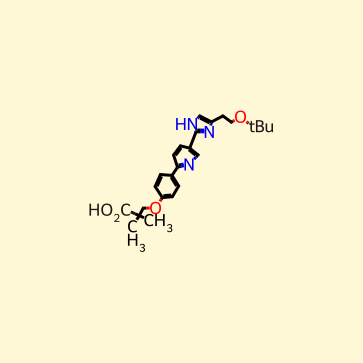 CC(C)(C)OCCc1c[nH]c(-c2ccc(-c3ccc(OCC(C)(C)C(=O)O)cc3)nc2)n1